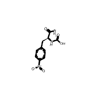 NC(=O)[C@H](Cc1ccc([N+](=O)[O-])cc1)NC(=O)O